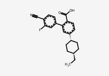 CC[C@H]1CC[C@H](c2ccc(C(=O)O)c(-c3ccc(C#N)c(F)c3)c2)CC1